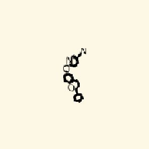 N#Cc1ccc(Oc2ccc3c(c2)CCC(c2ccccc2)O3)nc1